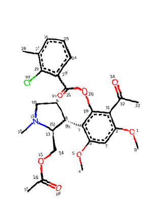 COc1cc(OC)c([C@H]2CCN(C)[C@@H]2COC(C)=O)c(OC(=O)c2cccc(C)c2Cl)c1C(C)=O